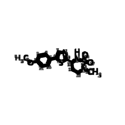 COc1ccc(-c2cnc([C@@H]3CCN(C)S(=O)(=O)N3)s2)cc1